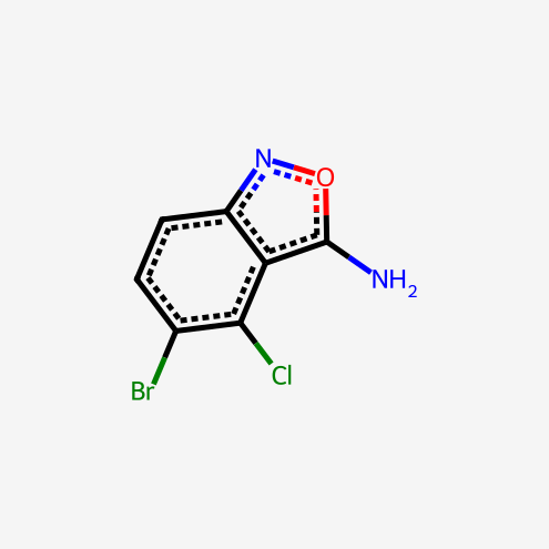 Nc1onc2ccc(Br)c(Cl)c12